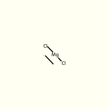 [CH2]C.[Cl][Mg][Cl]